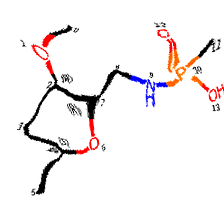 CO[C@@H]1C[C@H](C)O[C@@H]1CNP(C)(=O)O